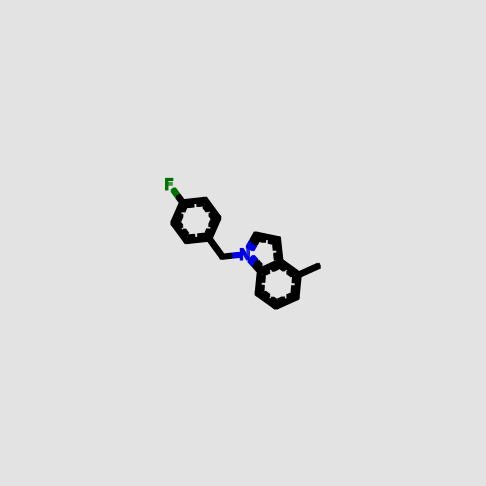 Cc1cccc2c1ccn2Cc1ccc(F)cc1